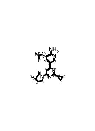 Nc1ncc(-c2cc(N3CC[C@@H](F)C3)nc(C3CC3)n2)cc1OC(F)F